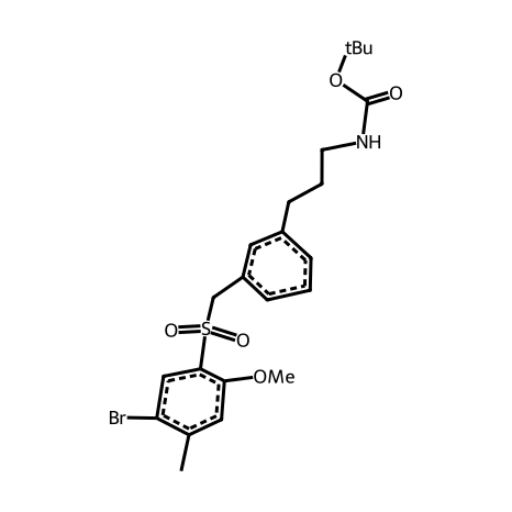 COc1cc(C)c(Br)cc1S(=O)(=O)Cc1cccc(CCCNC(=O)OC(C)(C)C)c1